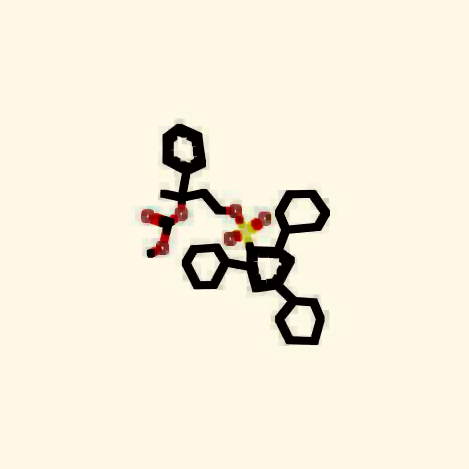 COC(=O)OC(C)(CCOS(=O)(=O)c1c(C2CCCCC2)cc(C2CCCCC2)cc1C1CCCCC1)c1ccccc1